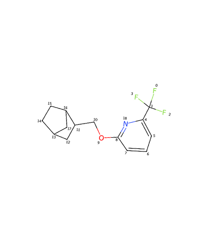 FC(F)(F)c1cccc(OCC2CC3CCC2C3)n1